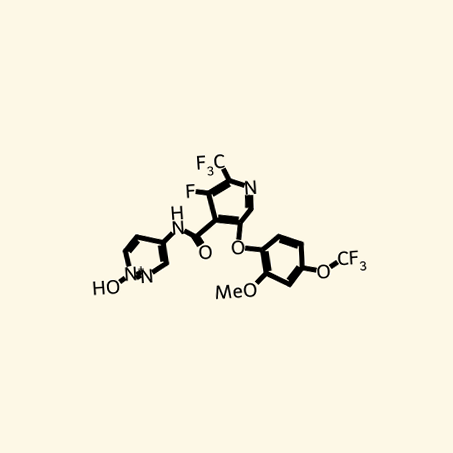 COc1cc(OC(F)(F)F)ccc1Oc1cnc(C(F)(F)F)c(F)c1C(=O)Nc1cc[n+](O)nc1